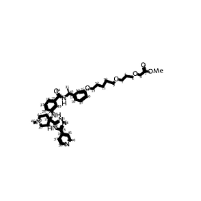 COC(=O)COCCCOCCCCCOc1cccc([C@H](C)NC(=O)c2cccc(NC3(c4nnc(-c5ccncc5)[nH]4)CCN(C)CC3)c2)c1